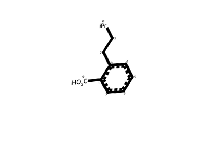 CC(C)CCc1ccccc1C(=O)O